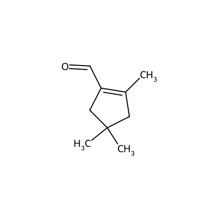 CC1=C(C=O)CC(C)(C)C1